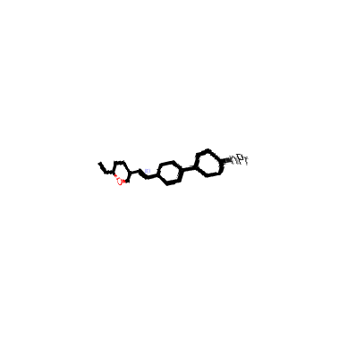 C=CC1CCC(/C=C/C2CCC(C3CCC(CCC)CC3)CC2)CO1